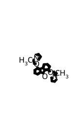 CC(COc1cccc2c1C(=O)c1cccc(OCC(C)N3CCCC3)c1-2)N1CCCC1